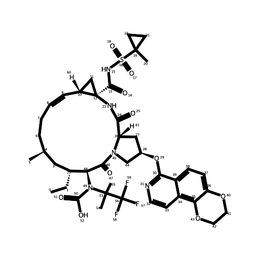 CC[C@@H]1C[C@@H](C)CCC=C[C@@H]2C[C@@]2(C(=O)NS(=O)(=O)C2(C)CC2)NC(=O)[C@@H]2C[C@@H](Oc3nccc4c5c(ccc34)OCCO5)CN2C(=O)[C@H]1N(C(=O)O)C(C)(C)C(F)(F)F